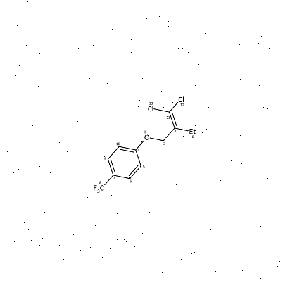 CCC(COc1ccc(C(F)(F)F)cc1)=C(Cl)Cl